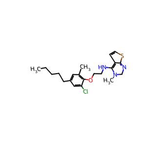 CCCCCc1cc(C)c(OCCNC2=c3ccsc3=NCN2C)c(Cl)c1